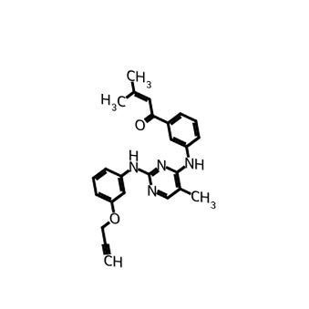 C#CCOc1cccc(Nc2ncc(C)c(Nc3cccc(C(=O)C=C(C)C)c3)n2)c1